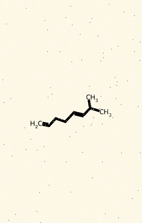 C=CCC/C=C/C(C)C